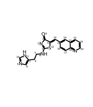 O=C1N=C(NCCc2cnc[nH]2)S/C1=C\c1ccc2ncccc2c1